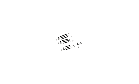 [C-]#N.[C-]#N.[C-]#N.[N+3]